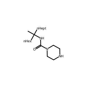 CCCCCCCC(C)(CCCCCC)NC(=O)N1CCNCC1